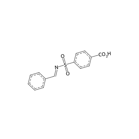 O=C(O)c1ccc(S(=O)(=O)N=Cc2ccccc2)cc1